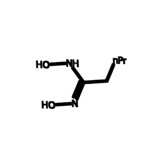 CCCCC(=NO)NO